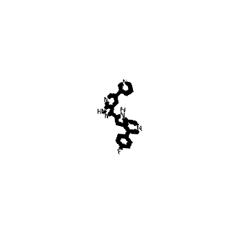 Fc1ccc(-c2cncc3[nH]c(-c4n[nH]c5ncc(-c6cccnc6)cc45)cc23)cc1